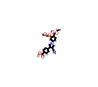 CCOC(=O)c1ccc(-n2cc(C#N)c(-c3ccc(C(=O)OC)cc3)c2)cc1OCOC